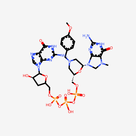 COc1ccc(CN2C[C@@H](COP(=O)(O)OP(=O)(O)OP(=O)(O)OCC3C[C@@H](O)C(n4cnc5c(=O)[nH]c(N)nc54)O3)O[C@@H](N3CN(C)c4c3nc(N)[nH]c4=O)C2)cc1